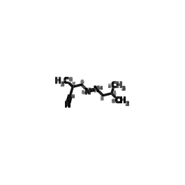 CC(C)CN=NCC(C)C#N